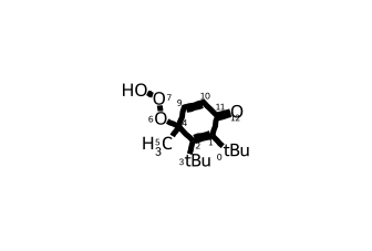 CC(C)(C)C1=C(C(C)(C)C)C(C)(OOO)C=CC1=O